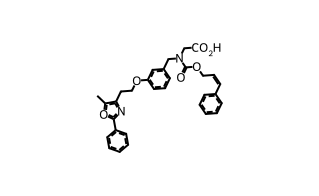 Cc1oc(-c2ccccc2)nc1CCOc1cccc(CN(CC(=O)O)C(=O)OC/C=C\c2ccccc2)c1